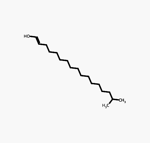 CC(C)CCCCCCCCCCCCC/C=C/O